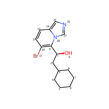 O[C@@H](CC1CCCCC1)c1c(Br)ccc2cncn12